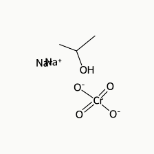 CC(C)O.[Na+].[Na+].[O]=[Cr](=[O])([O-])[O-]